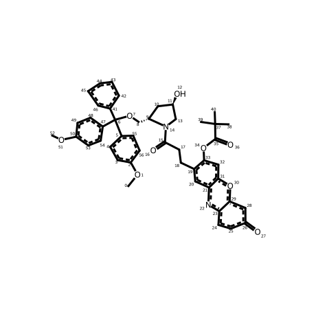 COc1ccc(C(OC[C@@H]2C[C@@H](O)CN2C(=O)CCc2cc3nc4ccc(=O)cc-4oc3cc2OC(=O)C(C)(C)C)(c2ccccc2)c2ccc(OC)cc2)cc1